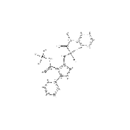 CN(C(=O)C(F)(F)Sc1nnc(-c2cccnc2)n1C(=O)OC(C)(C)C)c1ccccc1